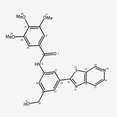 COc1cc(C(=O)Nc2cc(CO)cc(-c3nc4ccncc4s3)c2)cc(OC)c1OC